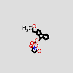 CC(=O)Cc1ccc2c(c1)C(COC(=O)ON1C(=O)CCC1=O)c1ccccc1-2